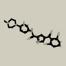 CN1CCN(c2ccc(NC(=O)c3cc(C(=O)c4c(F)cccc4Cl)c[nH]3)cn2)CC1